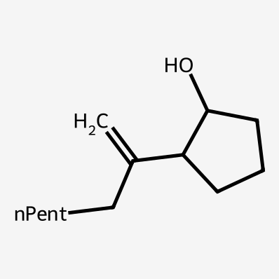 C=C(CCCCCC)C1CCCC1O